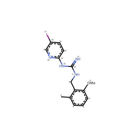 COc1cccc(C)c1CNC(=N)Nc1ccc(I)cn1